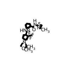 Cc1csc(NC(=O)c2cccc3[nH]c(-c4ccc(N5CCOC(C)(C)C5)cc4C(F)(F)F)nc23)n1